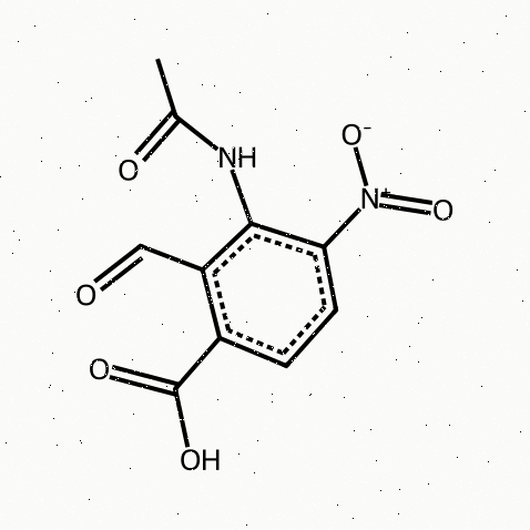 CC(=O)Nc1c([N+](=O)[O-])ccc(C(=O)O)c1C=O